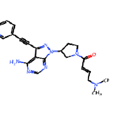 CN(C)CC=CC(=O)N1CCC(n2nc(C#Cc3cccnc3)c3c(N)ncnc32)C1